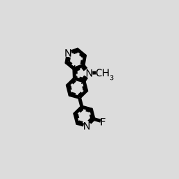 Cn1c2ccncc2c2ccc(-c3ccnc(F)c3)cc21